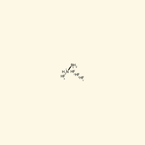 BN.F.F.F.F